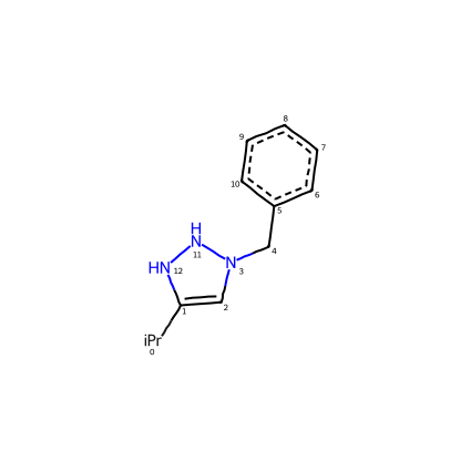 CC(C)C1=CN(Cc2ccccc2)NN1